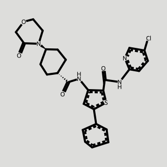 O=C(Nc1ccc(Cl)cn1)c1sc(-c2ccccc2)cc1NC(=O)[C@H]1CC[C@H](N2CCOCC2=O)CC1